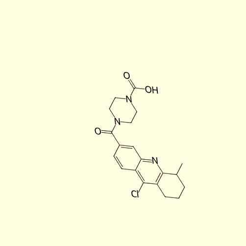 CC1CCCc2c1nc1cc(C(=O)N3CCN(C(=O)O)CC3)ccc1c2Cl